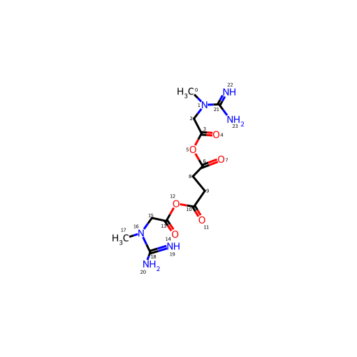 CN(CC(=O)OC(=O)CCC(=O)OC(=O)CN(C)C(=N)N)C(=N)N